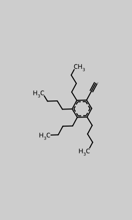 [C]#Cc1cc(CCCC)c(CCCC)c(CCCC)c1CCCC